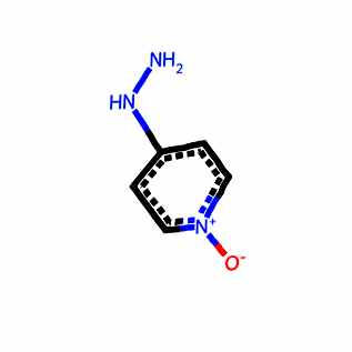 NNc1cc[n+]([O-])cc1